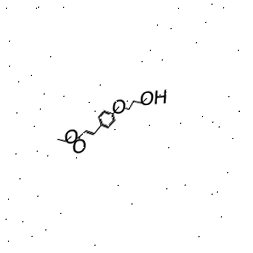 CCOC(=O)/C=C/c1ccc(OCCCO)cc1